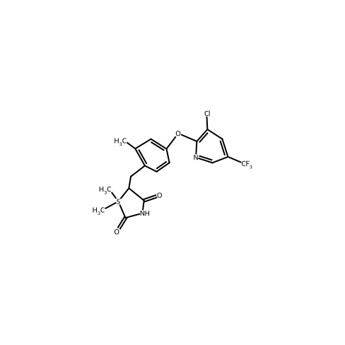 Cc1cc(Oc2ncc(C(F)(F)F)cc2Cl)ccc1CC1C(=O)NC(=O)S1(C)C